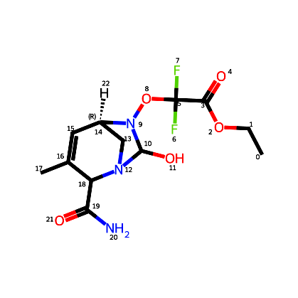 CCOC(=O)C(F)(F)ON1C(O)N2C[C@H]1C=C(C)C2C(N)=O